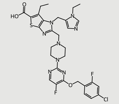 CCc1c(C(=O)O)sc2nc(CN3CCN(c4ncc(F)c(OCc5ccc(Cl)cc5F)n4)CC3)n(Cc3cncn3CC)c12